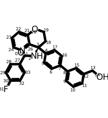 O=C(N[C@]1(c2ccc(-c3cccc(CO)c3)cc2)CCOc2cccnc21)c1ccc(F)cc1